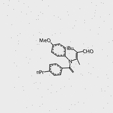 C=C(c1ccc(CCC)cc1)N(/C(C)=C(/C=O)C(C)CC)c1ccc(OC)cc1